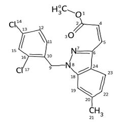 COC(=O)/C=C\c1nn(Cc2ccc(Cl)cc2Cl)c2cc(C)ccc12